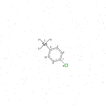 [CH3][Sn]([CH3])([CH3])[c]1ccc(Cl)cc1